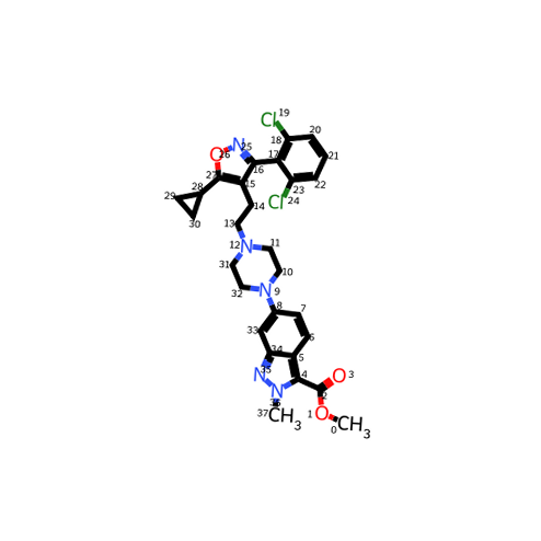 COC(=O)c1c2ccc(N3CCN(CCc4c(-c5c(Cl)cccc5Cl)noc4C4CC4)CC3)cc2nn1C